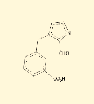 O=Cc1nccn1Cc1cccc(C(=O)O)c1